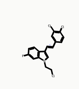 Fc1ccc2c(/C=C/c3ccc(Cl)c(Cl)c3)cn(CCCl)c2c1